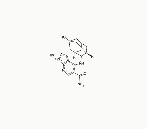 Br.NC(=O)c1cnc2[nH]ccc2c1NC1[C@@H]2CC3C[C@H]1CC(O)(C3)C2